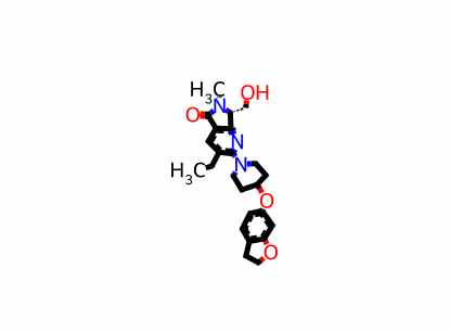 CCc1cc2c(nc1N1CCC(Oc3ccc4c(c3)OCC4)CC1)[C@@H](CO)N(C)C2=O